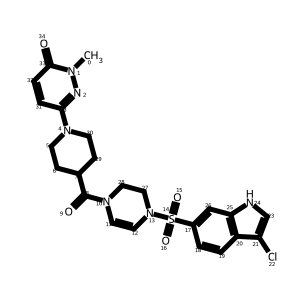 Cn1nc(N2CCC(C(=O)N3C=CN(S(=O)(=O)c4ccc5c(Cl)c[nH]c5c4)CC3)CC2)ccc1=O